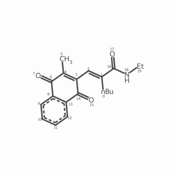 CCCCC(=CC1=C(C)C(=O)c2ccccc2C1=O)C(=O)NCC